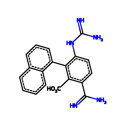 N=C(N)Nc1ccc(C(=N)N)c(C(=O)O)c1-c1cccc2ccccc12